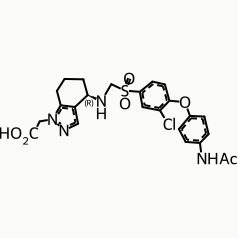 CC(=O)Nc1ccc(Oc2ccc(S(=O)(=O)CN[C@@H]3CCCc4c3cnn4CC(=O)O)cc2Cl)cc1